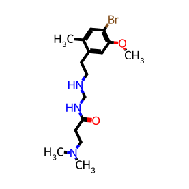 COc1cc(CCNCNC(=O)CCN(C)C)c(C)cc1Br